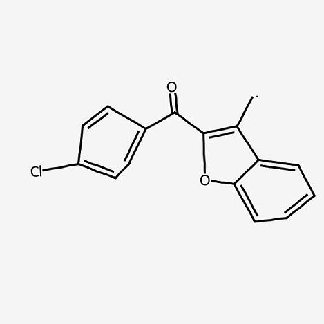 [CH2]c1c(C(=O)c2ccc(Cl)cc2)oc2ccccc12